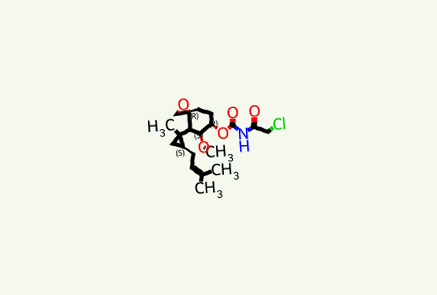 CO[C@H]1C(C2(C)C[C@@H]2CC=C(C)C)[C@]2(CC[C@H]1OC(=O)NC(=O)CCl)CO2